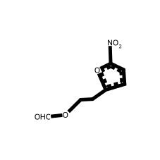 O=COCCc1ccc([N+](=O)[O-])o1